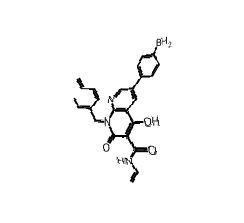 Bc1ccc(-c2cnc3c(c2)c(O)c(C(=O)NC=C)c(=O)n3CC(/C=C\C=C)=C/C)cc1